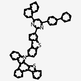 c1ccc(-c2ccc(-c3cc(-c4cccc5ccccc45)nc(-c4ccc5c(c4)sc4ccc(-n6c7ccccc7c7c8ccccc8c8c9ccccc9sc8c76)cc45)n3)cc2)cc1